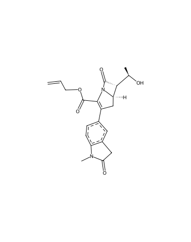 C=CCOC(=O)C1=C(c2ccc3c(c2)CC(=O)N3C)C[C@@H]2[C@@H]([C@@H](C)O)C(=O)N12